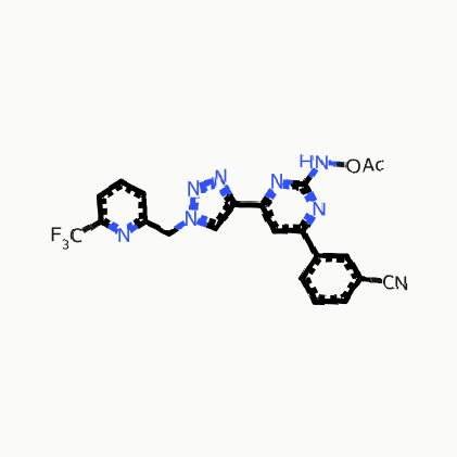 CC(=O)ONc1nc(-c2cccc(C#N)c2)cc(-c2cn(Cc3cccc(C(F)(F)F)n3)nn2)n1